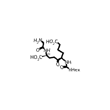 CCCCCCC(=O)NC(CCCC(=O)O)C(=O)CC[C@H](NC(=O)CN)C(=O)O